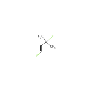 FC=CC(F)(C(F)(F)F)C(F)(F)F